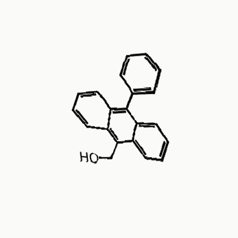 OCc1c2ccccc2c(-c2ccccc2)c2ccccc12